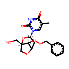 Cc1cn([C@H]2CC3OC[C@](CO)(O2)[C@H]3OOCc2ccccc2)c(=O)[nH]c1=O